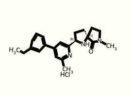 CCc1cccc(-c2cc(C)nc([C@H]3CC[C@@]4(CCN(C)C4=O)N3)c2)c1.Cl